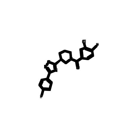 O=C(c1ccc(F)c(Cl)c1)N1CCC[C@H](c2nc(-c3ccc(F)cc3)no2)C1